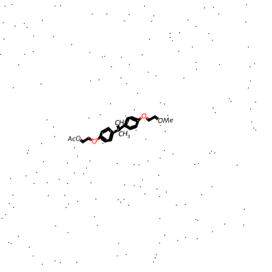 COCCOc1ccc(C(C)(C)c2ccc(OCCOC(C)=O)cc2)cc1